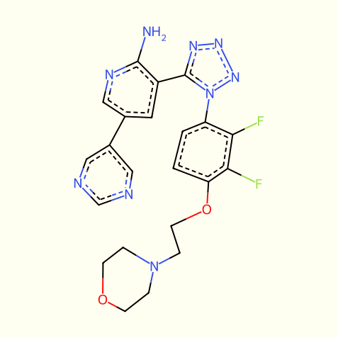 Nc1ncc(-c2cncnc2)cc1-c1nnnn1-c1ccc(OCCN2CCOCC2)c(F)c1F